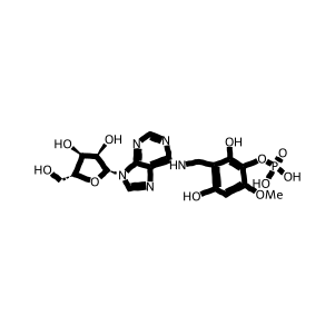 COc1cc(O)c(CNc2ncnc3c2ncn3[C@@H]2O[C@H](CO)[C@@H](O)[C@H]2O)c(O)c1OP(=O)(O)O